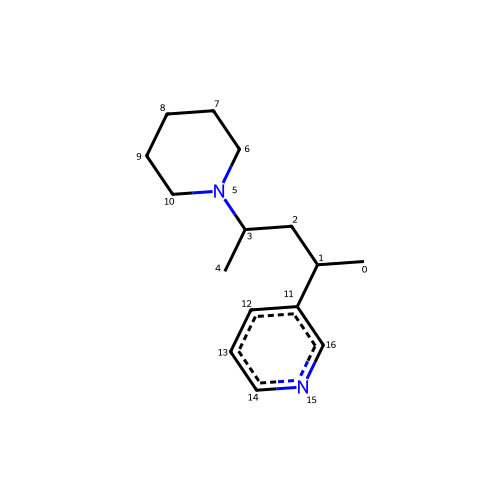 CC(CC(C)N1CCCCC1)c1cccnc1